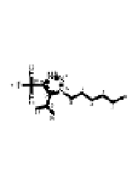 CCCCCCn1nnc(C(F)(F)F)c1C(C)C